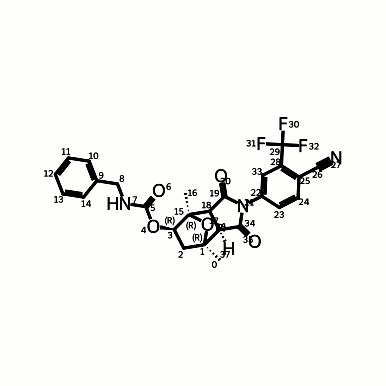 C[C@]12C[C@@H](OC(=O)NCc3ccccc3)[C@](C)(O1)C1C(=O)N(c3ccc(C#N)c(C(F)(F)F)c3)C(=O)[C@H]12